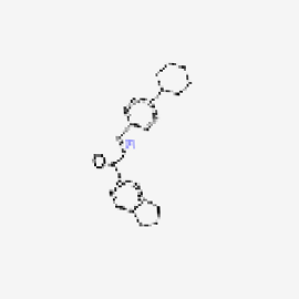 O=C(/C=C/c1ccc(C2CCCCC2)cc1)c1ccc2c(c1)CCC2